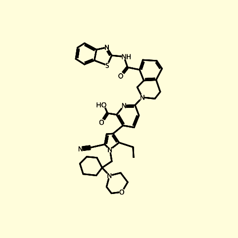 CCc1c(-c2ccc(N3CCc4cccc(C(=O)Nc5nc6ccccc6s5)c4C3)nc2C(=O)O)cc(C#N)n1CC1(N2CCOCC2)CCCCC1